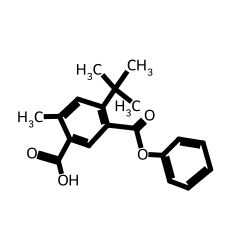 Cc1cc(C(C)(C)C)c(C(=O)Oc2ccccc2)cc1C(=O)O